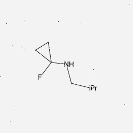 CC(C)CNC1(F)CC1